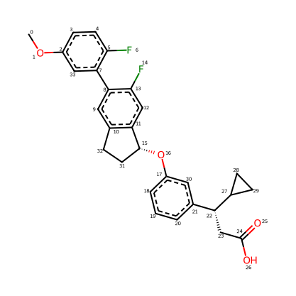 COc1ccc(F)c(-c2cc3c(cc2F)[C@H](Oc2cccc([C@@H](CC(=O)O)C4CC4)c2)CC3)c1